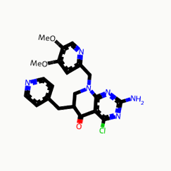 COc1cnc(CN2CC(Cc3ccncc3)C(=O)c3c(Cl)nc(N)nc32)cc1OC